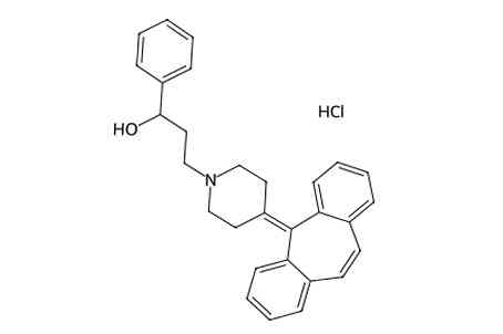 Cl.OC(CCN1CCC(=C2c3ccccc3C=Cc3ccccc32)CC1)c1ccccc1